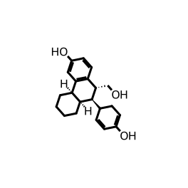 OC[C@H]1c2ccc(O)cc2[C@@H]2CCCC[C@@H]2[C@@H]1C1C=CC(O)=CC1